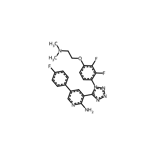 CN(C)CCOc1ccc(-n2nnnc2-c2cc(-c3ccc(F)cc3)cnc2N)c(F)c1F